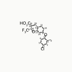 Cc1cc(Cl)ccc1Oc1ccc2c(c1)O[C@H](C(F)(F)F)C(C(=O)O)=C2